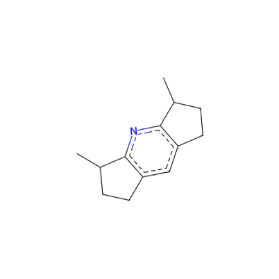 CC1CCc2cc3c(nc21)C(C)CC3